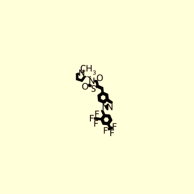 CN1CCC[C@H]1CN1C(=O)S/C(=C\c2ccc3c(cnn3Cc3ccc(C(F)(F)F)cc3C(F)(F)F)c2)C1=O